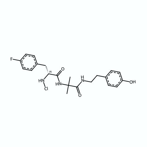 CC(C)(NC(=O)[C@@H](Cc1ccc(F)cc1)NCl)C(=O)NCCc1ccc(O)cc1